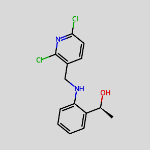 C[C@H](O)c1ccccc1NCc1ccc(Cl)nc1Cl